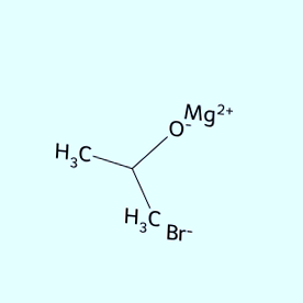 CC(C)[O-].[Br-].[Mg+2]